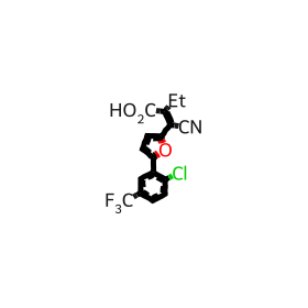 CCC(C(=O)O)=C(C#N)c1ccc(-c2cc(C(F)(F)F)ccc2Cl)o1